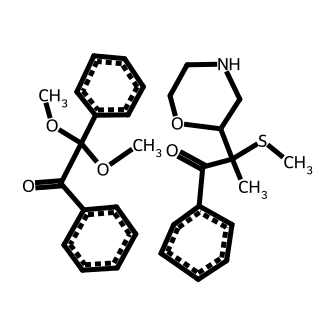 COC(OC)(C(=O)c1ccccc1)c1ccccc1.CSC(C)(C(=O)c1ccccc1)C1CNCCO1